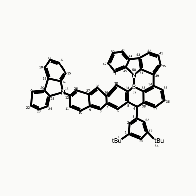 CC(C)(C)c1cc(C2c3cc4cc5ccc(-n6c7ccccc7c7ccccc76)cc5cc4cc3B3c4c(cccc42)-c2cccc4c5ccccc5n3c24)cc(C(C)(C)C)c1